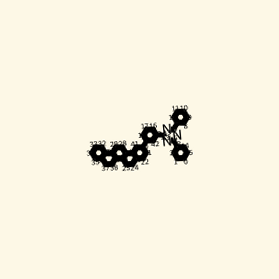 c1ccc(-c2nc(-c3ccccc3)nc(-c3cccc(-c4ccc5ccc6c(ccc7c8ccccc8ccc76)c5c4)c3)n2)cc1